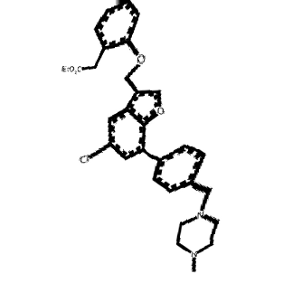 CCOC(=O)Cc1ccccc1OCc1coc2c(-c3ccc(CN4CCN(C)CC4)cc3)cc(Cl)cc12